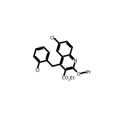 CCOC(=O)c1c(OC(C)C)nc2ccc(Cl)cc2c1Cc1ccccc1Cl